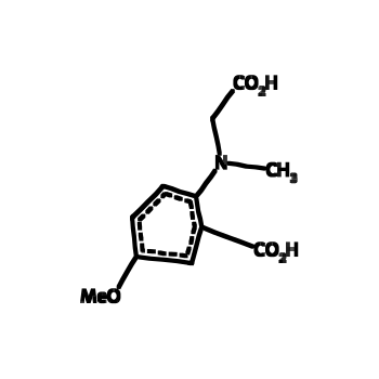 COc1ccc(N(C)CC(=O)O)c(C(=O)O)c1